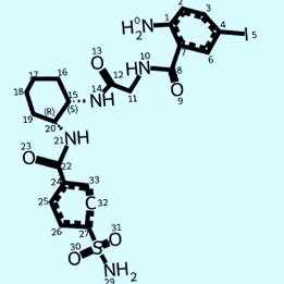 Nc1ccc(I)cc1C(=O)NCC(=O)N[C@H]1CCCC[C@H]1NC(=O)c1ccc(S(N)(=O)=O)cc1